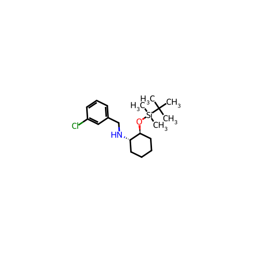 CC(C)(C)[Si](C)(C)O[C@H]1CCCC[C@@H]1NCc1cccc(Cl)c1